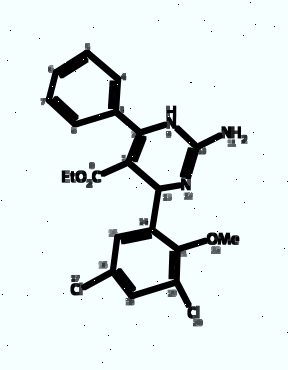 CCOC(=O)C1=C(c2ccccc2)NC(N)=NC1c1cc(Cl)cc(Cl)c1OC